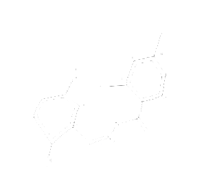 O=C(N/N=C\c1cc(Br)ccc1O)c1ccc(Cl)cc1F